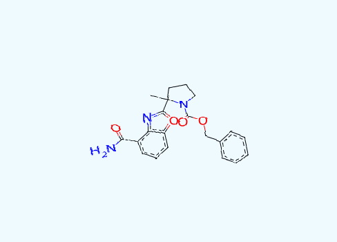 CC1(c2nc3c(C(N)=O)cccc3o2)CCCN1C(=O)OCc1ccccc1